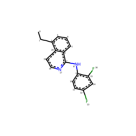 CCc1cccc2c(Nc3ccc(F)cc3F)nc[c]c12